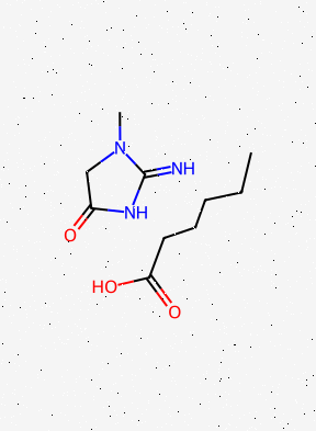 CCCCCC(=O)O.CN1CC(=O)NC1=N